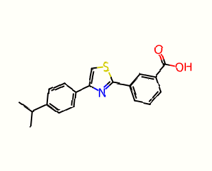 CC(C)c1ccc(-c2csc(-c3cccc(C(=O)O)c3)n2)cc1